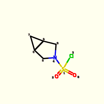 O=S(=O)(Cl)N1CC2CC2C1